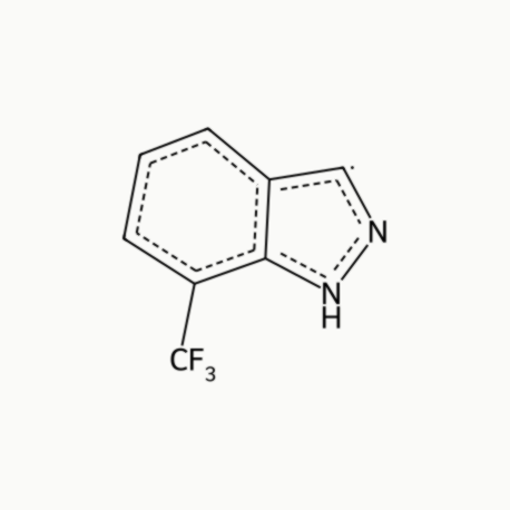 FC(F)(F)c1cccc2[c]n[nH]c12